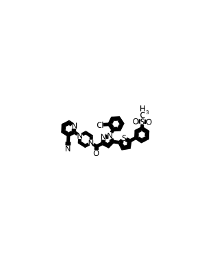 CS(=O)(=O)c1cccc(-c2ccc(-c3cc(C(=O)N4CCN(c5ncccc5C#N)CC4)nn3-c3ccccc3Cl)s2)c1